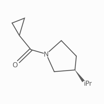 CC(C)[C@@H]1CCN(C(=O)C2CC2)C1